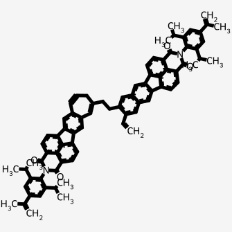 C=Cc1cc2cc3c(cc2cc1CCC1=Cc2cc4c(cc2C#CC1)-c1ccc2c5c(ccc-4c15)C(=O)N(c1c(C(C)C)cc(C(=C)C)cc1C(C)C)C2=O)-c1ccc2c4c(ccc-3c14)C(=O)N(c1c(C(C)C)cc(C(=C)C)cc1C(C)C)C2=O